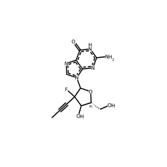 CC#CC1(F)C(O)[C@@H](CO)OC1n1cnc2c(=O)[nH]c(N)nc21